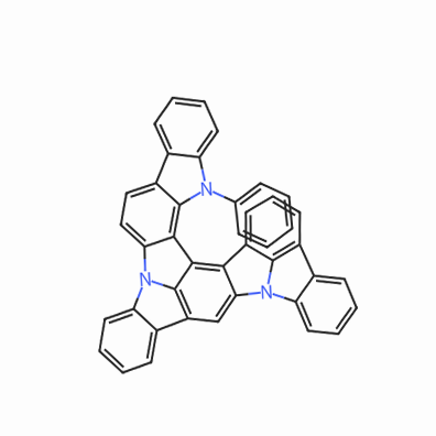 c1ccc(-n2c3ccccc3c3ccc4c(c5c6c7cccc8c9ccccc9n(c6cc6c9ccccc9n4c65)c87)c32)cc1